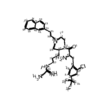 C[C@@H]1CN(C(=O)[C@H](N)Cc2ccc(C(F)(F)F)cc2Cl)[C@@H](CCCNC(=N)N)CN1CCc1ccc2ccccc2c1